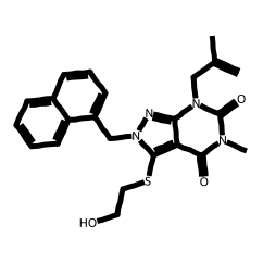 C=C(C)Cn1c(=O)n(C)c(=O)c2c(SCCO)n(Cc3cccc4ccccc34)nc21